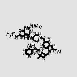 CNc1nc(NC2CCN(Cc3ccc4c(cc(C#N)n4CC4CC(C)(NC(=O)Cc5ccccc5N)C4)c3C)CC2)c2cc(CC(F)(F)F)sc2n1